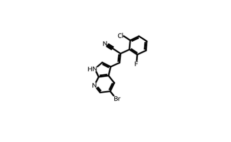 N#C/C(=C\c1c[nH]c2ncc(Br)cc12)c1c(F)cccc1Cl